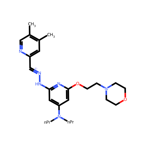 CCCN(CCC)c1cc(N/N=C/c2cc(C)c(C)cn2)nc(OCCN2CCOCC2)c1